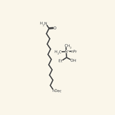 CCCCCCCCCCCCCCCCCCCCCC(N)=O.CCC[N+](C)(C)C(O)CC